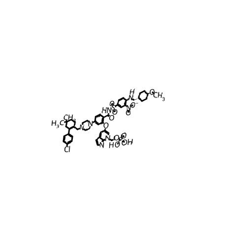 CO[C@H]1CC[C@H](CNc2ccc(S(=O)(=O)NC(=O)c3ccc(N4CCN(CC5=C(c6ccc(Cl)cc6)CC(C)(C)CC5)CC4)cc3Oc3cc4ccnc-4n(COP(=O)(O)O)c3)cc2[N+](=O)[O-])CC1